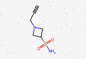 C#CCN1CC(S(N)(=O)=O)C1